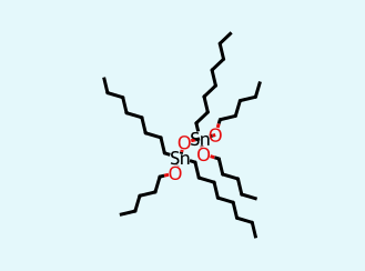 CCCCCCC[CH2][Sn]([CH2]CCCCCCC)([O]CCCCC)[O][Sn]([CH2]CCCCCCC)([O]CCCCC)[O]CCCCC